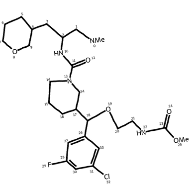 CNCC(CC1CCCOC1)NC(=O)N1CCCC(C(OCCNC(=O)OC)c2cc(F)cc(Cl)c2)C1